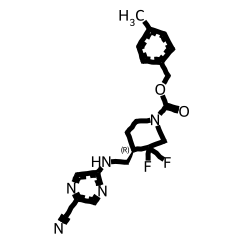 Cc1ccc(COC(=O)N2CC[C@H](CNc3cnc(C#N)cn3)C(F)(F)C2)cc1